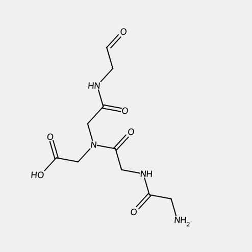 NCC(=O)NCC(=O)N(CC(=O)O)CC(=O)NCC=O